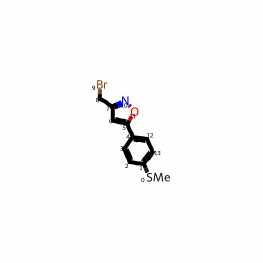 CSc1ccc(-c2cc(CBr)no2)cc1